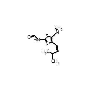 C=Nc1sc(NC=O)nc1/C=C\C(C)C